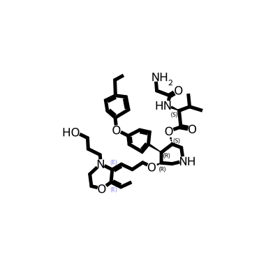 C/C=C1/OCCN(CCCO)/C1=C/CCO[C@H]1CNC[C@@H](OC(=O)[C@@H](NC(=O)CN)C(C)C)[C@@H]1c1ccc(Oc2ccc(CC)cc2)cc1